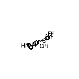 Cl.FC(F)(F)c1ccc(OCCCN2CCN(c3cccc4[nH]ccc34)CC2)cn1